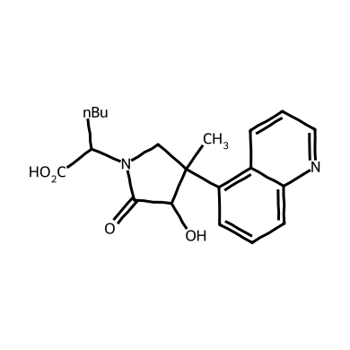 CCCCC(C(=O)O)N1CC(C)(c2cccc3ncccc23)C(O)C1=O